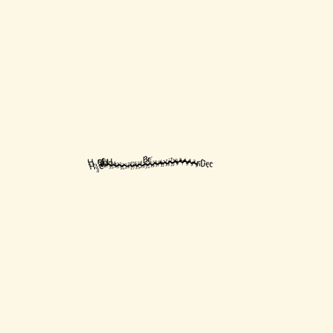 CCCCCCCCCCCCCCCCCCCCCCCCCCCCCCCCCCCCCCCCCCCCCCC[P+](C)(C)C.[Br-]